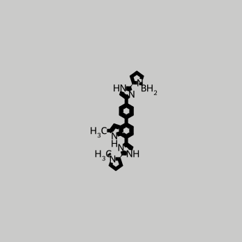 BN1CCC[C@H]1c1nc(-c2ccc(-c3ccc(-c4c[nH]c([C@@H]5CCCN5C)n4)c4[nH]c(C)cc34)cc2)c[nH]1